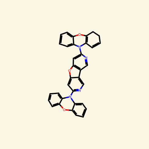 C1=CC2=C(CC1)Oc1ccccc1N2c1cc2oc3cc(N4c5ccccc5Oc5ccccc54)ncc3c2cn1